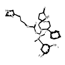 C[C@@H](OC[C@@]1(c2ccccc2)CC[C@]2(CCC(=O)N2)CN1COC(=O)OCCCc1c[nH]cn1)c1cc(C(F)(F)F)cc(C(F)(F)F)c1